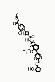 COCC(=O)N1CCN([C@H]2C[C@@H](C(=O)Nc3nc4ccc(-c5cnc(CO[C@H]6CCC[C@@H]6O)nc5)c(OC)c4s3)C2)[C@@H](C)C1